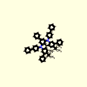 CC(C)(C)c1cc2c(cc1-c1ccccc1)N(c1ccc(-c3ccccc3)cc1)c1cc(-c3ccccc3)cc3c1B2c1cc(C(C)(C)C)c(-c2ccccc2)cc1N3c1ccc(-c2ccccc2)cc1